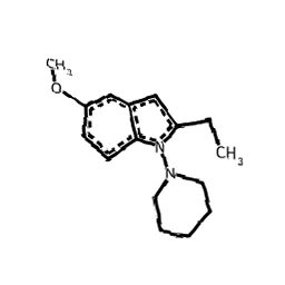 CCc1cc2cc(OC)ccc2n1N1CCCCC1